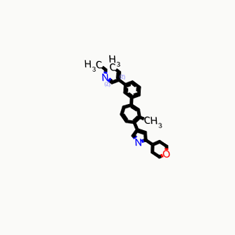 C/C=C(\C=N/CC)c1cccc(C2=CC(C)=C(C3=CC(C4CCOCC4)N=C3)C=CC2)c1